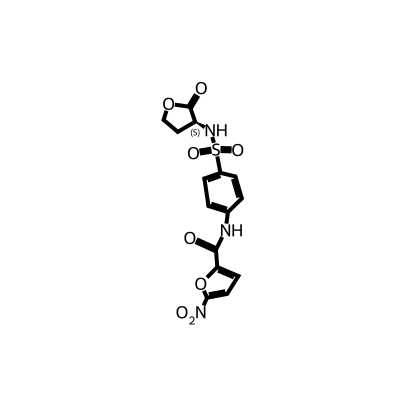 O=C(Nc1ccc(S(=O)(=O)N[C@H]2CCOC2=O)cc1)c1ccc([N+](=O)[O-])o1